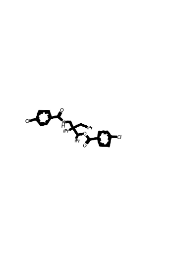 CC(C)CC(CNC(=O)c1ccc(Cl)cc1)(C(C)C)C(OC(=O)c1ccc(Cl)cc1)C(C)C